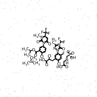 CC(C)OC(=O)c1cc(-n2c(=O)cc(C(F)(F)F)n(C)c2=O)ccc1Cl.C[S+](C)C.Cc1nn(-c2cc(CC(Cl)C(=O)O)c(Cl)cc2F)c(=O)n1C(F)F.O=C(O)CNCP(=O)([O-])O